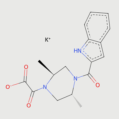 C[C@@H]1CN(C(=O)C(=O)[O-])[C@@H](C)CN1C(=O)c1cc2ccccc2[nH]1.[K+]